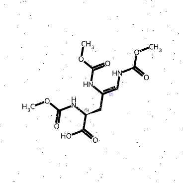 COC(=O)N/C=C(/C[C@H](NC(=O)OC)C(=O)O)NC(=O)OC